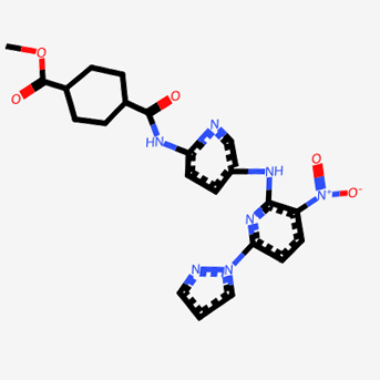 COC(=O)C1CCC(C(=O)Nc2ccc(Nc3nc(-n4cccn4)ccc3[N+](=O)[O-])cn2)CC1